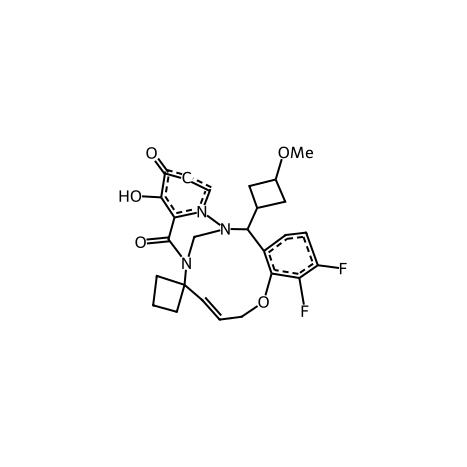 COC1CC(C2c3ccc(F)c(F)c3OC/C=C/C3(CCC3)N3CN2n2ccc(=O)c(O)c2C3=O)C1